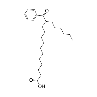 CCCCCCC(CCCCCCCCCCC(=O)O)C(=O)c1ccccc1